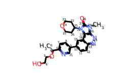 C[C@@H](OCCO)c1ccc(-c2ccc3nnc4c(c3c2)n(C2CCOCC2)c(=O)n4C)cn1